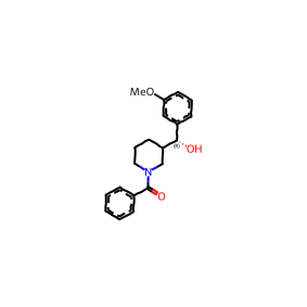 COc1cccc([C@H](O)C2CCCN(C(=O)c3ccccc3)C2)c1